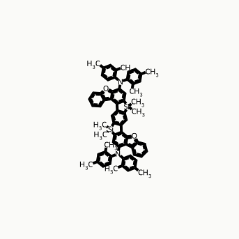 Cc1ccc(N(c2ccc(C)cc2C)c2cc3c(c4c2oc2ccccc24)-c2cc4c(cc2[Si]3(C)C)-c2c(cc(N(c3ccc(C)cc3C)c3ccc(C)cc3C)c3c2oc2ccccc23)[Si]4(C)C)c(C)c1